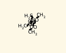 C=CCOC(=O)CC(C(=O)OCC=C)P(=O)(OCC=C)OCC=C